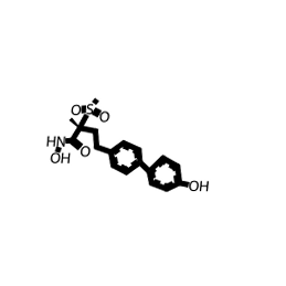 C[C@@](CCc1ccc(-c2ccc(O)cc2)cc1)(C(=O)NO)S(C)(=O)=O